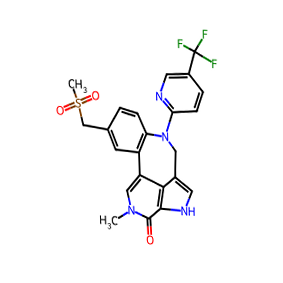 Cn1cc2c3c(c[nH]c3c1=O)CN(c1ccc(C(F)(F)F)cn1)c1ccc(CS(C)(=O)=O)cc1-2